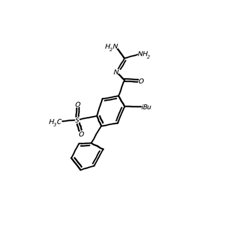 CCC(C)c1cc(-c2ccccc2)c(S(C)(=O)=O)cc1C(=O)N=C(N)N